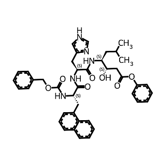 CC(C)C[C@H](NC(=O)[C@H](Cc1c[nH]cn1)NC(=O)[C@H](Cc1cccc2ccccc12)NC(=O)OCc1ccccc1)[C@@H](O)CC(=O)Oc1ccccc1